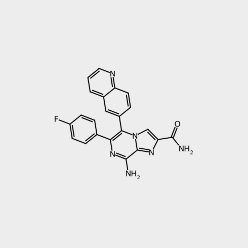 NC(=O)c1cn2c(-c3ccc4ncccc4c3)c(-c3ccc(F)cc3)nc(N)c2n1